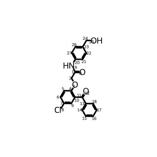 O=C(COc1ccc(Cl)cc1C(=O)c1ccccc1)Nc1ccc(CO)cc1